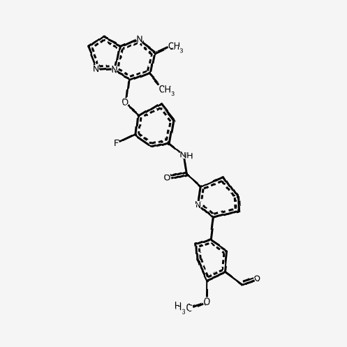 COc1ccc(-c2cccc(C(=O)Nc3ccc(Oc4c(C)c(C)nc5ccnn45)c(F)c3)n2)cc1C=O